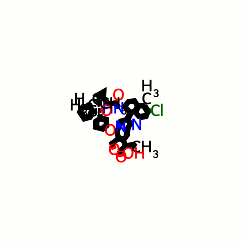 CC[C@@]1(O)C(=O)OCc2c1cc1n(c2=O)Cc2c-1nc1cc(Cl)c(C)c3c1c2[C@@H](NC(=O)[C@H](O[Si](c1ccccc1)(c1ccccc1)C(C)(C)C)C1CC1)CC3